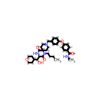 CCCCN1C(=O)[C@@H]([C@H](O)C2CCOCC2)NC(=O)C12CCN(Cc1ccc(Oc3ccc(C(=O)NC)cc3)cc1)CC2